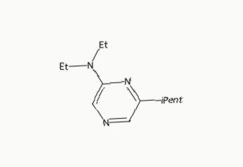 CCCC(C)c1cncc(N(CC)CC)n1